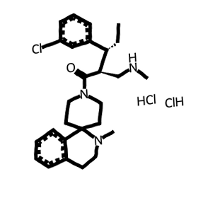 CC[C@@H](c1cccc(Cl)c1)[C@@H](CNC)C(=O)N1CCC2(CC1)c1ccccc1CCN2C.Cl.Cl